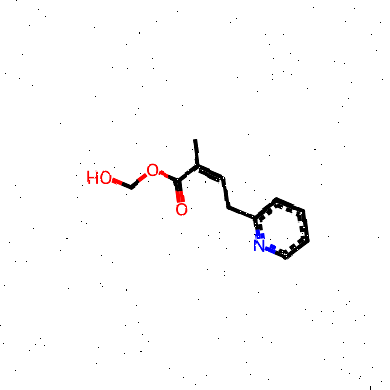 CC(=CCc1ccccn1)C(=O)OCO